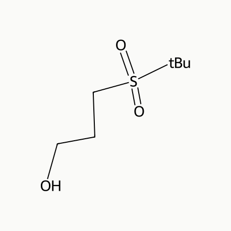 CC(C)(C)S(=O)(=O)CCCO